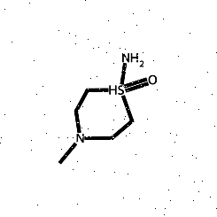 CN1CC[SH](N)(=O)CC1